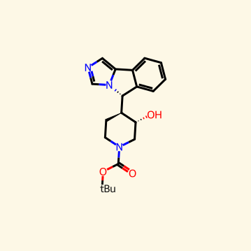 CC(C)(C)OC(=O)N1CC[C@@H]([C@H]2c3ccccc3-c3cncn32)[C@H](O)C1